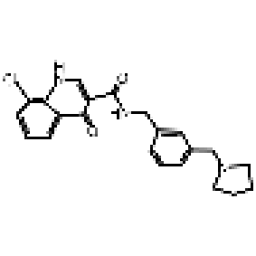 O=C(NCc1cccc(CN2CCCC2)c1)c1c[nH]c2c(Cl)cccc2c1=O